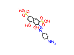 Nc1ccc(N=Nc2c(S(=O)(=O)O)cc3cc(S(=O)(=O)O)cc(O)c3c2O)cc1